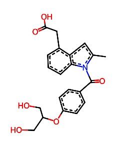 Cc1cc2c(CC(=O)O)cccc2n1C(=O)c1ccc(OC(CO)CO)cc1